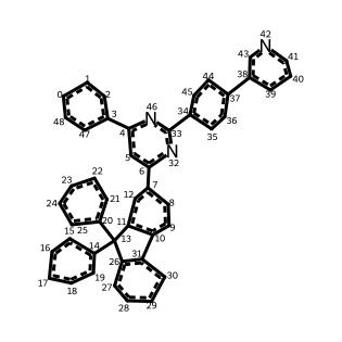 c1ccc(-c2cc(-c3ccc4c(c3)C(c3ccccc3)(c3ccccc3)c3ccccc3-4)nc(-c3ccc(-c4cccnc4)cc3)n2)cc1